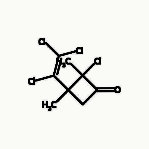 CC1(Cl)C(=O)CC1(C)C(Cl)=C(Cl)Cl